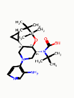 CC(C)(C)N(C(=O)O)[C@@H]1CN(c2ccncc2N)C[C@H](C2CC2)[C@H]1O[Si](C)(C)C(C)(C)C